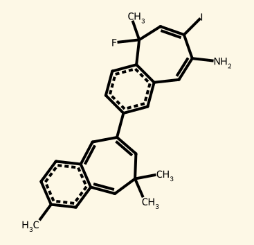 Cc1ccc2c(c1)=CC(C)(C)C=C(c1ccc3c(c1)C=C(N)C(I)=CC3(C)F)C=2